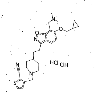 CN(C)Cc1c(OCC2CC2)ccc2c(CCC3CCN(Cc4ccsc4C#N)CC3)noc12.Cl.Cl